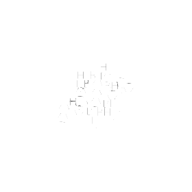 Bc1c(B)c(B)c2c(-c3cccc(-c4cc5ccc6ccccc6c5c5ccccc45)c3)c3c(B)c(B)c(B)c(B)c3c(-c3cccc(-c4cccc5ccccc45)c3)c2c1B